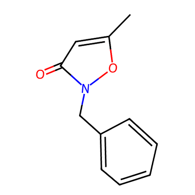 Cc1cc(=O)n(Cc2ccccc2)o1